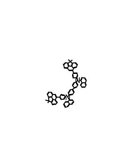 CC1(C)c2cccc3cc(-c4ccc(N(c5ccc(-c6ccc(N(c7ccc(-c8cc9cccc%10c9c9c(cccc89)C%10(C)C)cc7)c7cccc8ccccc78)cc6)cc5)c5cccc6ccccc56)cc4)c4cccc1c4c23